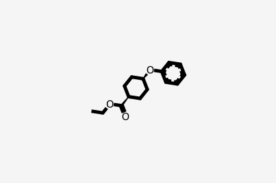 CCOC(=O)[C@H]1CC[C@@H](Oc2ccccc2)CC1